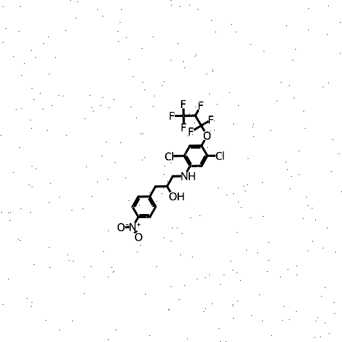 O=[N+]([O-])c1ccc(CC(O)CNc2cc(Cl)c(OC(F)(F)C(F)C(F)(F)F)cc2Cl)cc1